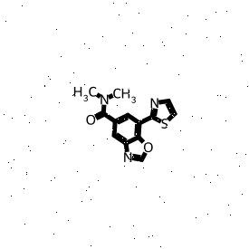 CN(C)C(=O)c1cc(-c2nccs2)c2ocnc2c1